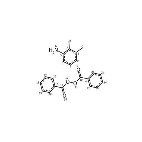 Cc1cccc(N)c1C.O=C(OOC(=O)c1ccccc1)c1ccccc1